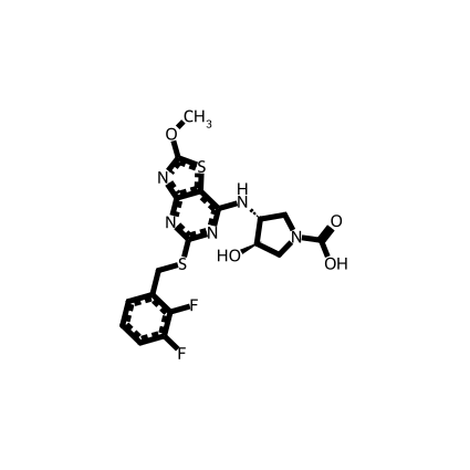 COc1nc2nc(SCc3cccc(F)c3F)nc(N[C@@H]3CN(C(=O)O)C[C@H]3O)c2s1